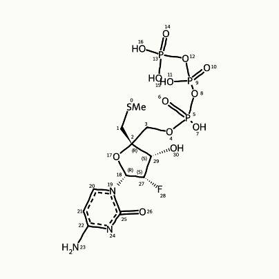 CSC[C@]1(COP(=O)(O)OP(=O)(O)OP(=O)(O)O)O[C@@H](n2ccc(N)nc2=O)[C@@H](F)[C@H]1O